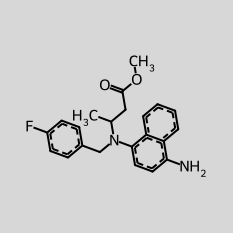 COC(=O)CC(C)N(Cc1ccc(F)cc1)c1ccc(N)c2ccccc12